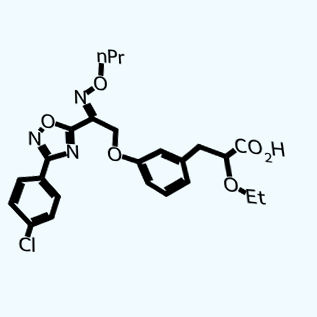 CCCO/N=C(\COc1cccc(CC(OCC)C(=O)O)c1)c1nc(-c2ccc(Cl)cc2)no1